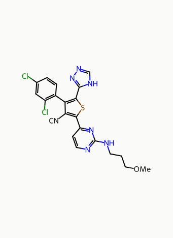 [C-]#[N+]c1c(-c2ccnc(NCCCOC)n2)sc(-c2nnc[nH]2)c1-c1ccc(Cl)cc1Cl